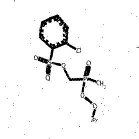 CC(C)OOP(C)(=O)COS(=O)(=O)c1ccccc1Cl